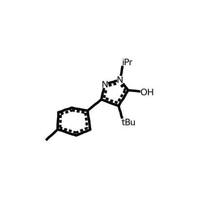 Cc1ccc(-c2nn(C(C)C)c(O)c2C(C)(C)C)cc1